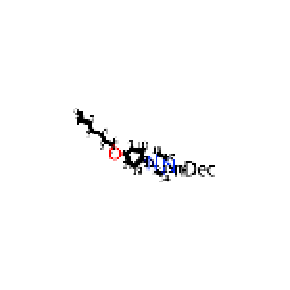 C=CCCCCCOc1ccc(N2CCN(CCCCCCCCCC)CC2)cc1